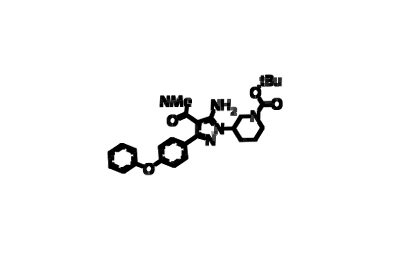 CNC(=O)c1c(-c2ccc(Oc3ccccc3)cc2)nn(C2CCCN(C(=O)OC(C)(C)C)C2)c1N